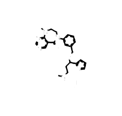 CN(CCC(OCc1cccc(N2CCN(C)c3ncncc3C2=O)c1)c1cccs1)C(=O)O